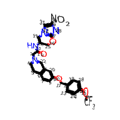 O=C(CN1CCc2ccc(OCc3ccc(OC(F)(F)F)cc3)cc2C1)N[C@@H]1COc2nc([N+](=O)[O-])cn2C1